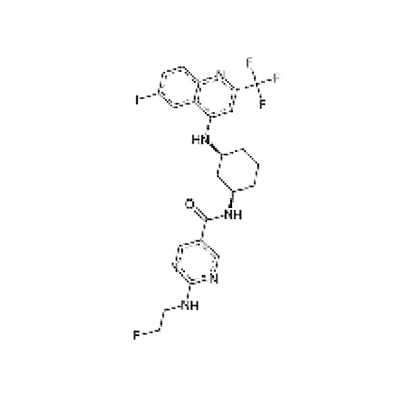 O=C(N[C@@H]1CCC[C@H](Nc2cc(C(F)(F)F)nc3ccc(I)cc23)C1)c1cnc(NCCF)nc1